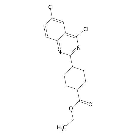 CCOC(=O)C1CCC(c2nc(Cl)c3cc(Cl)ccc3n2)CC1